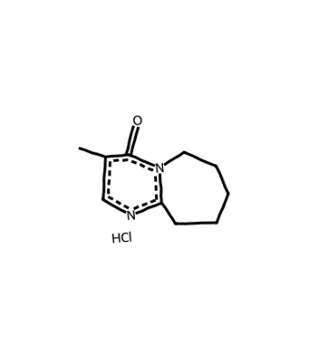 Cc1cnc2n(c1=O)CCCCC2.Cl